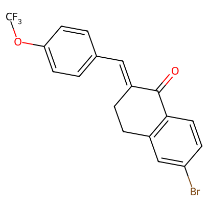 O=C1C(=Cc2ccc(OC(F)(F)F)cc2)CCc2cc(Br)ccc21